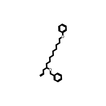 C=CCC(CCCCCCCCCOc1ccccc1)OCc1ccccc1